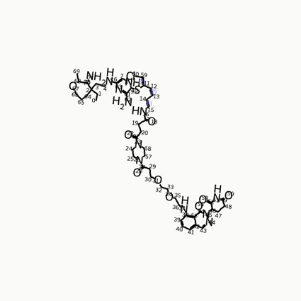 CCC1(CCNC2=CNC(SC(/C=C\C=C\NC(=O)CCC(=O)N3CCN(C(=O)CCOCCOCCNc4cccc5cnn(C6CCC(=O)NC6=O)c(=O)c45)CC3)=C\Cl)C(N)=N2)CCCOC(C)[C@H]1N